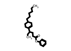 CCCCCCC1CC=C(C(CC)CCC(=O)Oc2ccccc2)CC1